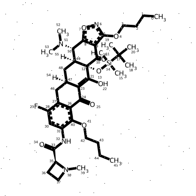 CCCCOc1noc2c1C(=O)[C@@]1(O[Si](C)(C)C(C)(C)C)C(O)=C3C(=O)c4c(c(F)cc(NC(=O)[C@@H]5CCN5C)c4OCCCC)C[C@H]3C[C@H]1[C@@H]2N(C)C